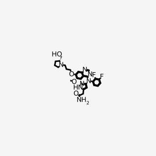 COc1cc2c(N(c3cc(CC(N)=O)[nH]n3)c3cccc(F)c3F)ncnc2cc1OCCCN1CCC[C@@H]1CO